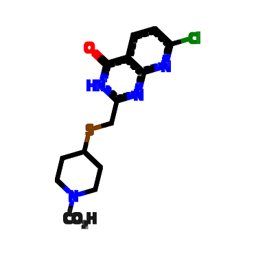 O=C(O)N1CCC(SCc2nc3nc(Cl)ccc3c(=O)[nH]2)CC1